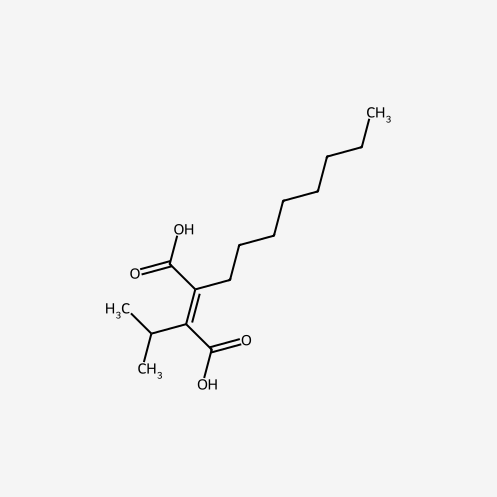 CCCCCCCC/C(C(=O)O)=C(\C(=O)O)C(C)C